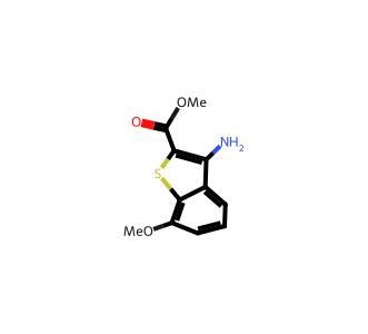 COC(=O)c1sc2c(OC)cccc2c1N